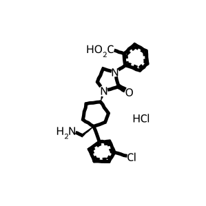 Cl.NC[C@]1(c2cccc(Cl)c2)CC[C@@H](N2CCN(c3ccccc3C(=O)O)C2=O)CC1